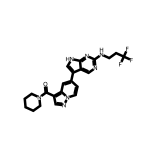 O=C(c1cnn2ccc(-c3c[nH]c4nc(NCCC(F)(F)F)ncc34)cc12)N1CCCCC1